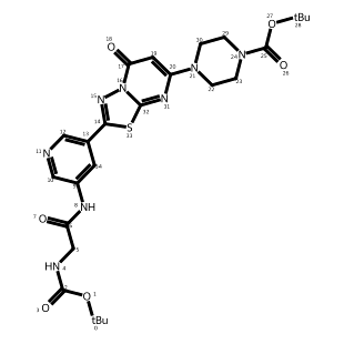 CC(C)(C)OC(=O)NCC(=O)Nc1cncc(-c2nn3c(=O)cc(N4CCN(C(=O)OC(C)(C)C)CC4)nc3s2)c1